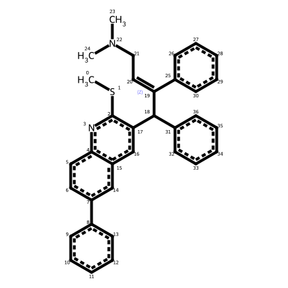 CSc1nc2ccc(-c3ccccc3)cc2cc1C(/C(=C/CN(C)C)c1ccccc1)c1ccccc1